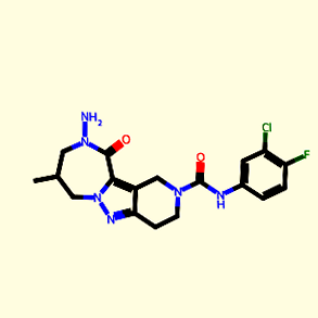 CC1CN(N)C(=O)c2c3c(nn2C1)CCN(C(=O)Nc1ccc(F)c(Cl)c1)C3